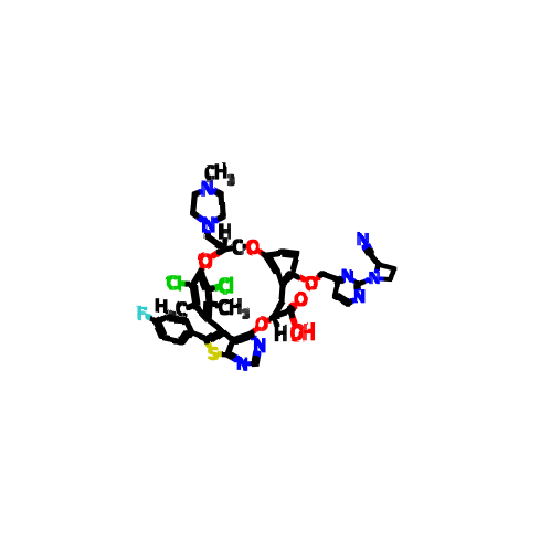 Cc1c(Cl)c2c(Cl)c(C)c1-c1c(-c3ccc(F)cc3)sc3ncnc(c13)O[C@@H](C(=O)O)Cc1cc(ccc1OCc1ccnc(N3CCC3C#N)n1)OC[C@@H](CN1CCN(C)CC1)O2